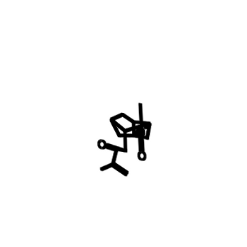 C=C(C)C(=O)CC1C2CC3C4(C2)CC13OC4=O